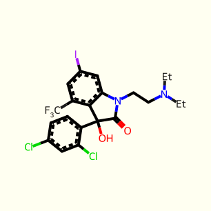 CCN(CC)CCN1C(=O)C(O)(c2ccc(Cl)cc2Cl)c2c1cc(I)cc2C(F)(F)F